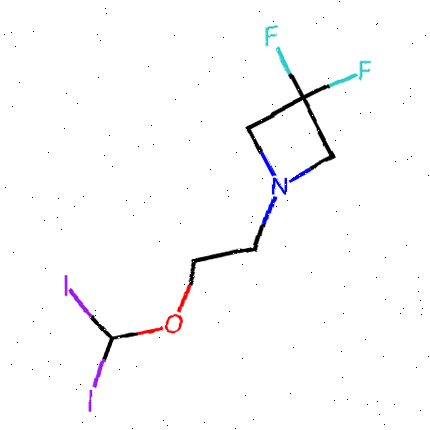 FC1(F)CN(CCOC(I)I)C1